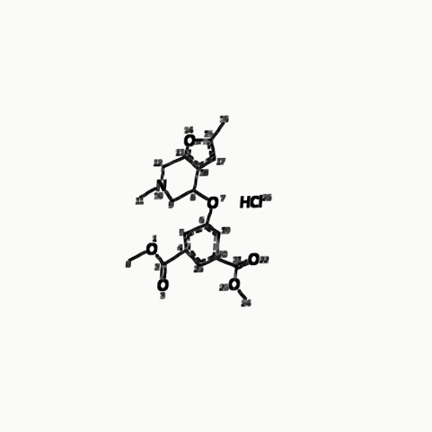 COC(=O)c1cc(OC2CN(C)Cc3oc(C)cc32)cc(C(=O)OC)c1.Cl